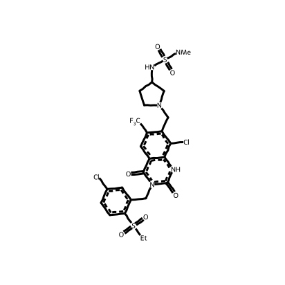 CCS(=O)(=O)c1ccc(Cl)cc1Cn1c(=O)[nH]c2c(Cl)c(CN3CCC(NS(=O)(=O)NC)C3)c(C(F)(F)F)cc2c1=O